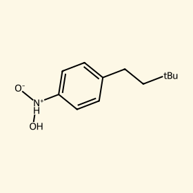 CC(C)(C)CCc1ccc([NH+]([O-])O)cc1